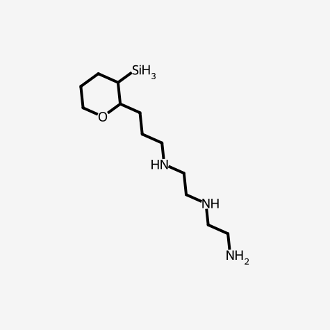 NCCNCCNCCCC1OCCCC1[SiH3]